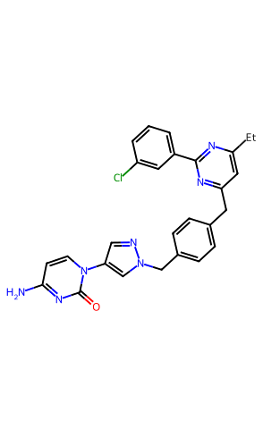 CCc1cc(Cc2ccc(Cn3cc(-n4ccc(N)nc4=O)cn3)cc2)nc(-c2cccc(Cl)c2)n1